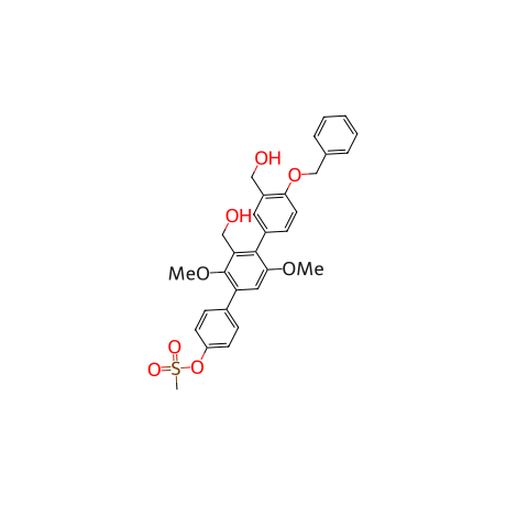 COc1cc(-c2ccc(OS(C)(=O)=O)cc2)c(OC)c(CO)c1-c1ccc(OCc2ccccc2)c(CO)c1